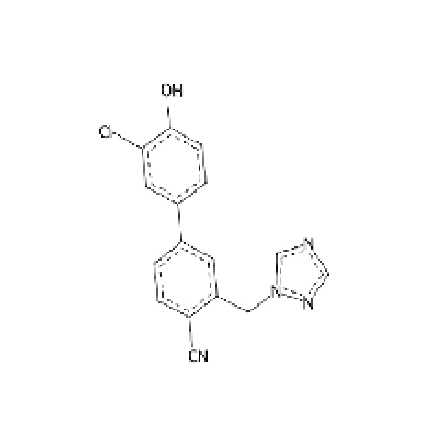 N#Cc1ccc(-c2ccc(O)c(Cl)c2)cc1Cn1cncn1